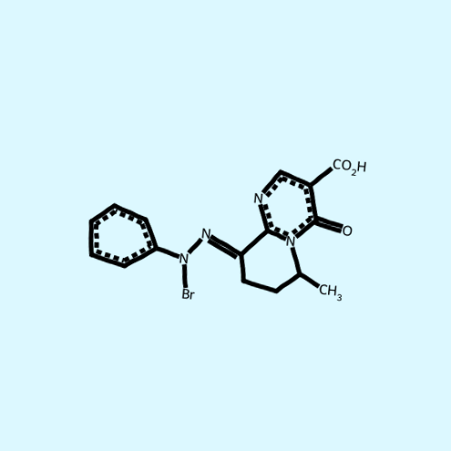 CC1CCC(=NN(Br)c2ccccc2)c2ncc(C(=O)O)c(=O)n21